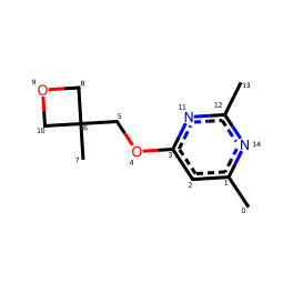 Cc1cc(OCC2(C)COC2)nc(C)n1